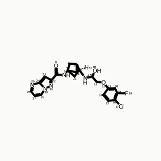 O=C(NC12CC(C1)[C@@H](NC(O)COc1ccc(Cl)c(F)c1)C2)c1cc2ncccn2n1